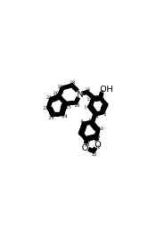 Oc1ccc(-c2ccc3c(c2)OCO3)cc1CN1CCc2ccccc2C1